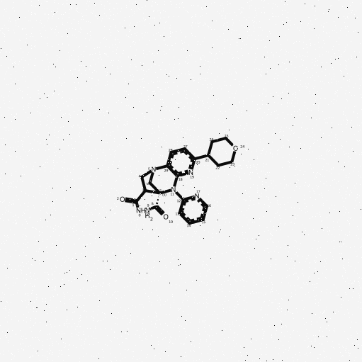 NC(=O)C1CN2C[C@@]1(C(N)=O)N(c1ccccn1)c1nc(C3CCOCC3)ccc12